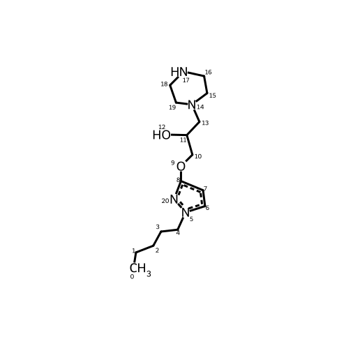 CCCCCn1ccc(OCC(O)CN2CCNCC2)n1